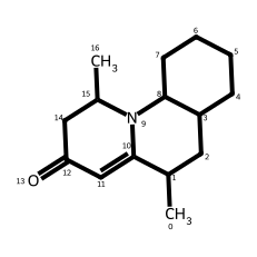 CC1CC2CCCCC2N2C1=CC(=O)CC2C